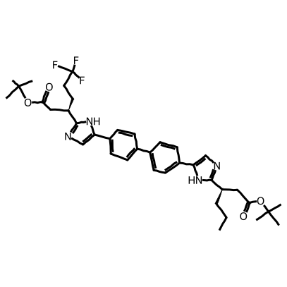 CCC[C@H](CC(=O)OC(C)(C)C)c1ncc(-c2ccc(-c3ccc(-c4cnc([C@H](CCC(F)(F)F)CC(=O)OC(C)(C)C)[nH]4)cc3)cc2)[nH]1